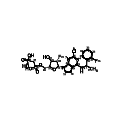 C[C@@H](Nc1nc(Cl)nc2c1ccn2[C@@H]1O[C@H](COP(=O)(O)CP(=O)(O)O)[C@@H](O)[C@@H]1F)c1ccccc1F